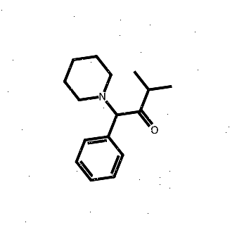 CC(C)C(=O)C(c1ccccc1)N1CCCCC1